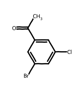 CC(=O)c1cc(Cl)cc(Br)c1